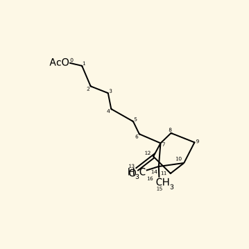 CC(=O)OCCCCCCC12CCC(CC1=O)C2(C)C